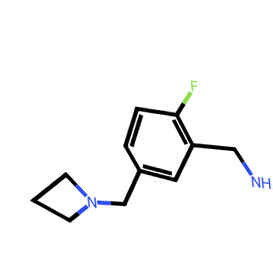 NCc1cc(CN2CCC2)ccc1F